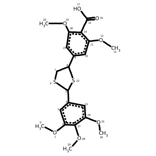 COc1cc(C2SCC(c3cc(OC)c(C(=O)O)c(OC)c3)S2)cc(OC)c1OC